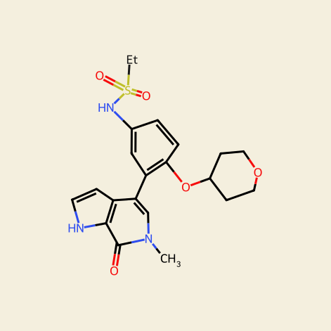 CCS(=O)(=O)Nc1ccc(OC2CCOCC2)c(-c2cn(C)c(=O)c3[nH]ccc23)c1